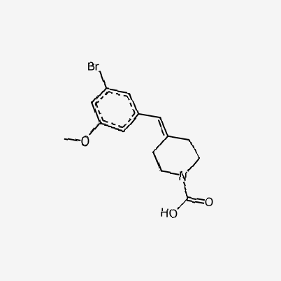 COc1cc(Br)cc(C=C2CCN(C(=O)O)CC2)c1